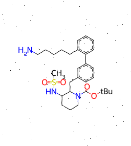 CC(C)(C)OC(=O)N1CCCC(NS(C)(=O)=O)C1Cc1cccc(-c2ccccc2CCCCCN)c1